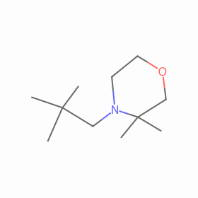 CC(C)(C)CN1CCOCC1(C)C